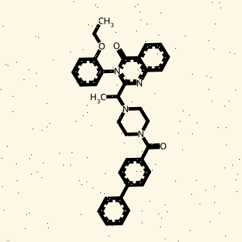 CCOc1ccccc1-n1c(C(C)N2CCN(C(=O)c3ccc(-c4ccccc4)cc3)CC2)nc2ccccc2c1=O